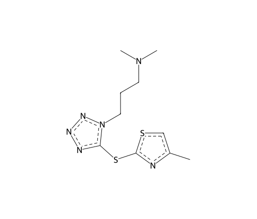 Cc1csc(Sc2nnnn2CCCN(C)C)n1